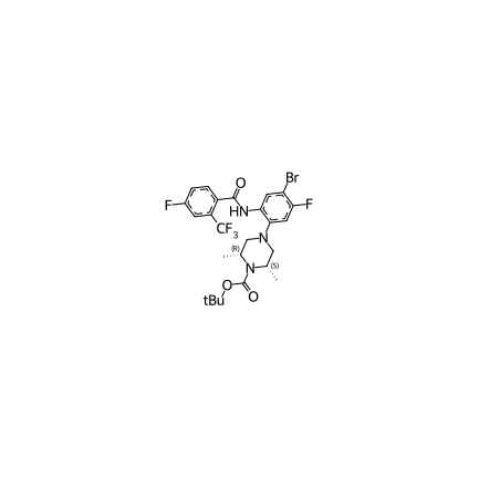 C[C@@H]1CN(c2cc(F)c(Br)cc2NC(=O)c2ccc(F)cc2C(F)(F)F)C[C@H](C)N1C(=O)OC(C)(C)C